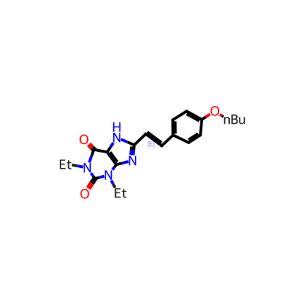 CCCCOc1ccc(/C=C/c2nc3c([nH]2)c(=O)n(CC)c(=O)n3CC)cc1